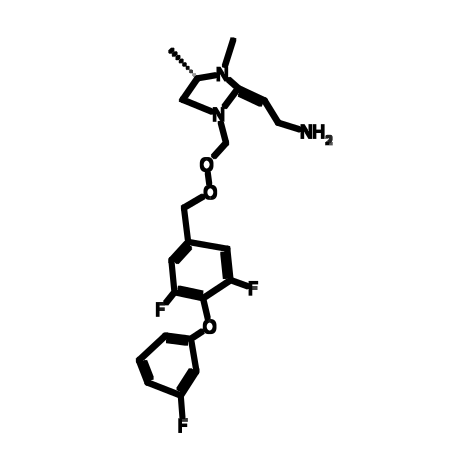 C[C@H]1CN(COOCc2cc(F)c(Oc3cccc(F)c3)c(F)c2)/C(=C\CN)N1C